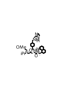 COCCN(CCC[C@H](NC(=O)c1ccc(CNCc2ncc[nH]2)cc1)C(=O)N[C@@H](C)c1cccc2ccccc12)C(C)C